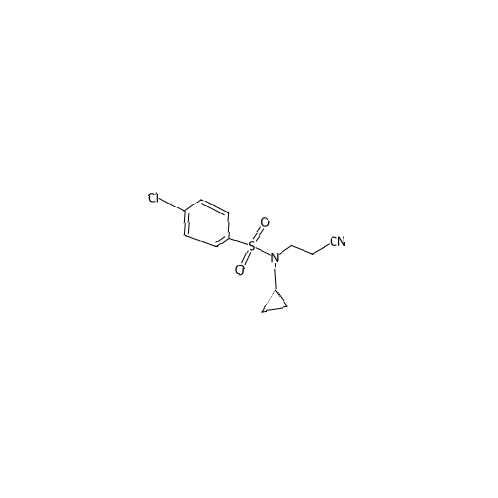 N#CCCN(C1CC1)S(=O)(=O)c1ccc(Cl)cc1